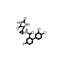 O=C1NC(=O)[C@](CNC(=O)c2cc(F)ccc2-c2ccc(Cl)c(Cl)c2)(C2CC2)N1